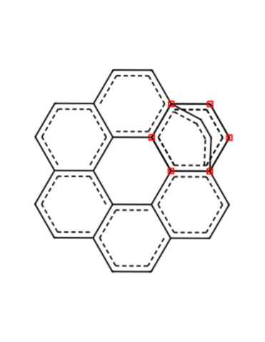 c1cc2ccc3ccc4ccc5ccc6ccc7ccc8ccc1c1c2c3c4c5c6c7c81